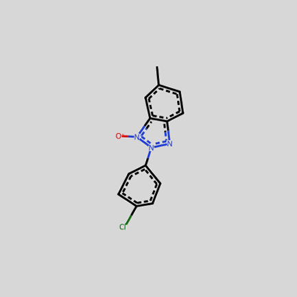 Cc1ccc2nn(-c3ccc(Cl)cc3)[n+]([O-])c2c1